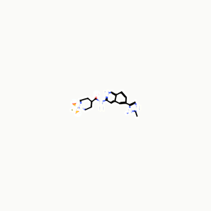 Cc1ncc(-c2ccc3cnc(NC(=O)C4CCN(S(C)(=O)=O)CC4)cc3c2)n1C